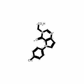 O=C(O)Cn1cnc2ccn(-c3ccc(Cl)cc3)c2c1=O